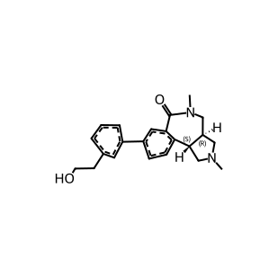 CN1C[C@@H]2CN(C)C(=O)c3cc(-c4cccc(CCO)c4)ccc3[C@H]2C1